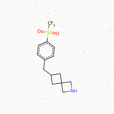 O=S(=O)(c1ccc(CC2CC3(CNC3)C2)cc1)C(F)(F)F